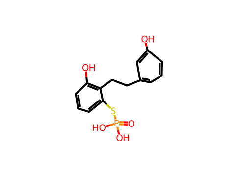 O=P(O)(O)Sc1cccc(O)c1CCc1cccc(O)c1